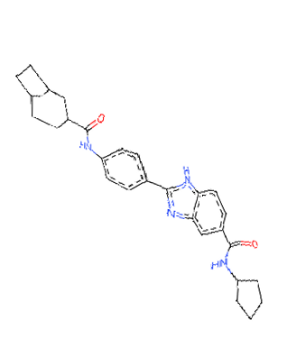 O=C(NC1CCCC1)c1ccc2[nH]c(-c3ccc(NC(=O)C4CCC5CCC5C4)cc3)nc2c1